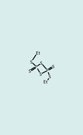 CCSP1(=S)SP(=S)(SCC)S1